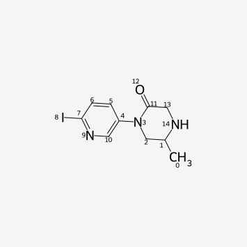 CC1CN(c2ccc(I)nc2)C(=O)CN1